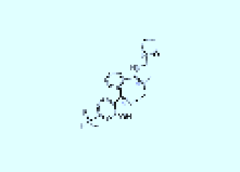 C/C1=C(\NC[C@H]2CCCO2)c2ccccc2/C(c2ccc(C(F)(F)F)cc2O)=N\CC1